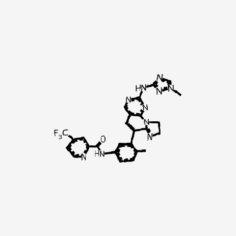 Cc1ccc(NC(=O)c2cc(C(F)(F)F)ccn2)cc1C1=Cc2cnc(Nc3ncn(C)n3)nc2N2CCN=C12